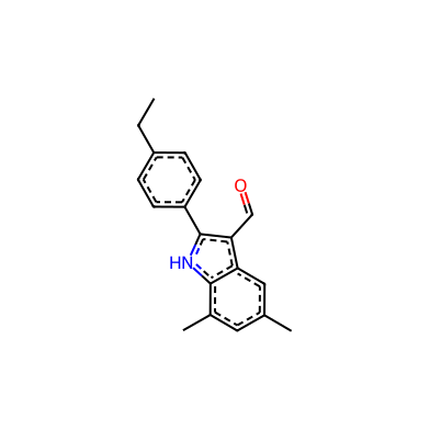 CCc1ccc(-c2[nH]c3c(C)cc(C)cc3c2C=O)cc1